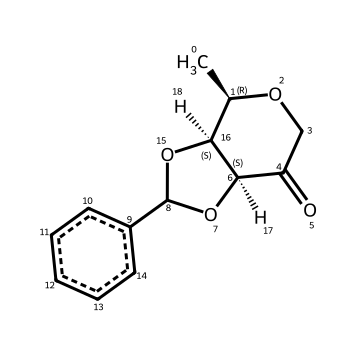 C[C@H]1OCC(=O)[C@H]2OC(c3ccccc3)O[C@H]21